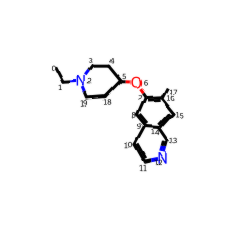 CCN1CCC(Oc2cc3ccncc3cc2C)CC1